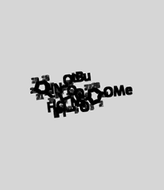 COc1ccc(S(=O)(=O)N(CC(C)C)C[C@H](O)[C@H](Cc2ccccc2)NC(=O)OC(C)(C)C)cc1